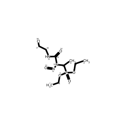 CCOP(=O)(OCC)C(C)N(N=O)C(=O)NCCCl